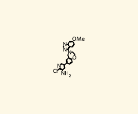 COc1ccc2c(N3CCOc4ccc(-c5cnc(Cl)c(N)c5)cc4C3)ncnc2c1